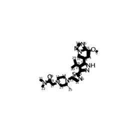 COc1cc(-c2[nH]nc(-c3ncc(N4CCN(CC(=O)N(C)C)C[C@H]4C)s3)c2C(C)C)cn2ncnc12